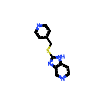 c1cc(CSc2nc3cnccc3[nH]2)ccn1